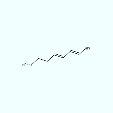 CCCC=CC=CCCCCCCC